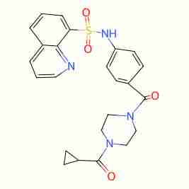 O=C(c1ccc(NS(=O)(=O)c2cccc3cccnc23)cc1)N1CCN(C(=O)C2CC2)CC1